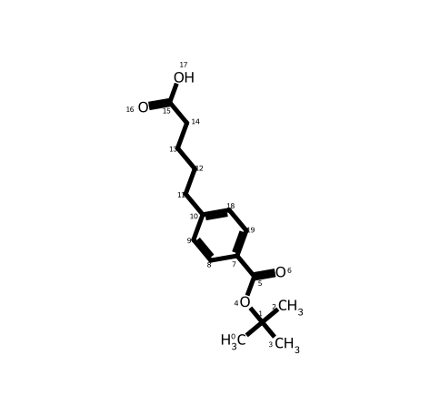 CC(C)(C)OC(=O)c1ccc(CCCCC(=O)O)cc1